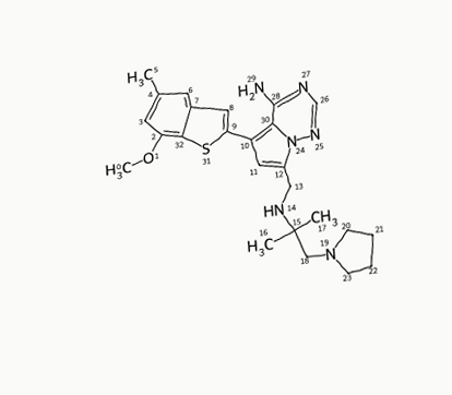 COc1cc(C)cc2cc(-c3cc(CNC(C)(C)CN4CCCC4)n4ncnc(N)c34)sc12